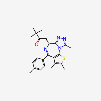 Cc1ccc(C2=N[C@@H](CC(=O)C(C)(C)C)c3nnc(C)n3-c3sc(C)c(C)c32)cc1